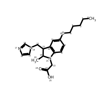 CCCCCOc1ccc2c(c1)C(Cn1ccnc1)C(C)N2CC(=O)O